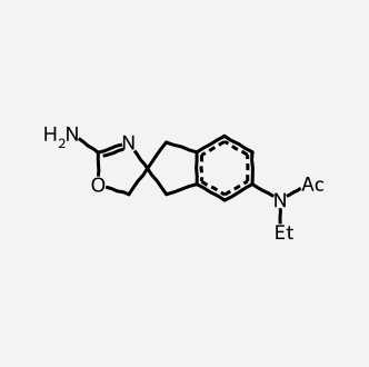 CCN(C(C)=O)c1ccc2c(c1)CC1(COC(N)=N1)C2